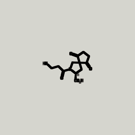 O=C(O)[C@@H]1CC2(CN1C(=O)CCS)C(=O)CCC2=O